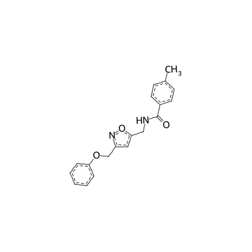 Cc1ccc(C(=O)NCc2cc(COc3ccccc3)no2)cc1